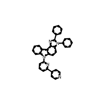 c1ccc(-c2nc3c4c5ccccc5n(-c5cccc(-c6ccncc6)n5)c4ccc3n2-c2ccccc2)cc1